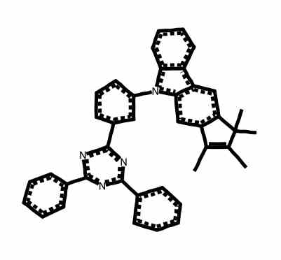 CC1=C(C)C(C)(C)c2cc3c4ccccc4n(-c4cccc(-c5nc(-c6ccccc6)nc(-c6ccccc6)n5)c4)c3cc21